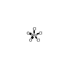 [O]=[Mn](=[O])([Cl])([Cl])[Cl]